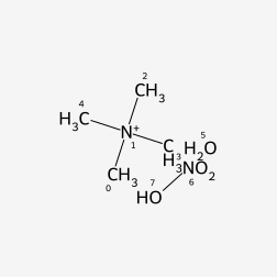 C[N+](C)(C)C.O.O=[N+]([O-])O